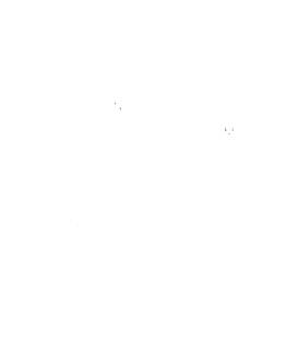 COC(=O)c1ccc(C2CC2)cc1N